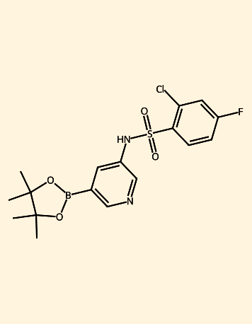 CC1(C)OB(c2cncc(NS(=O)(=O)c3ccc(F)cc3Cl)c2)OC1(C)C